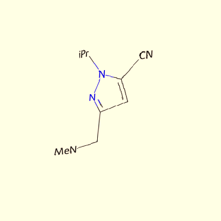 CNCc1cc(C#N)n(C(C)C)n1